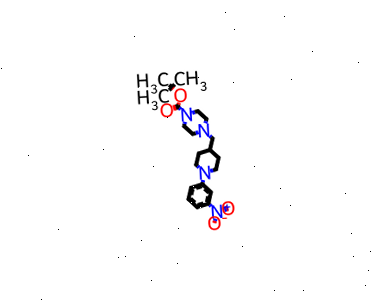 CC(C)(C)OC(=O)N1CCN(CC2CCN(c3cccc([N+](=O)[O-])c3)CC2)CC1